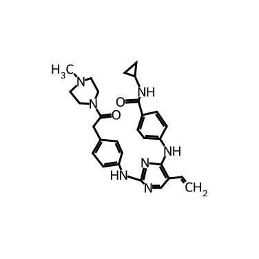 C=Cc1cnc(Nc2ccc(CC(=O)N3CCN(C)CC3)cc2)nc1Nc1ccc(C(=O)NC2CC2)cc1